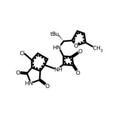 Cc1ccc([C@H](Nc2c(Nc3ccc(Cl)c4c3C(=O)NC4=O)c(=O)c2=O)C(C)(C)C)o1